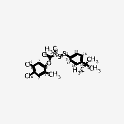 Cc1cc(Cl)c(Cl)cc1OC(=O)N(C)SSc1ccc(C(C)(C)C)cc1